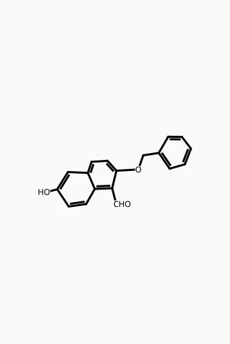 O=Cc1c(OCc2ccccc2)ccc2cc(O)ccc12